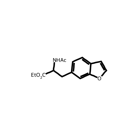 CCOC(=O)C(Cc1ccc2ccoc2c1)NC(C)=O